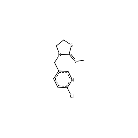 CN=C1SCCN1Cc1ccc(Cl)nc1